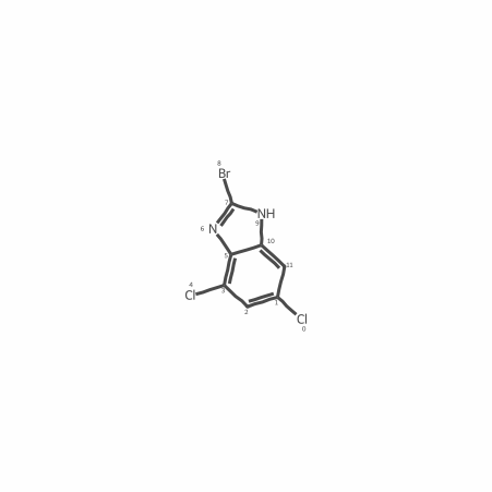 Clc1cc(Cl)c2nc(Br)[nH]c2c1